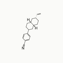 C=C[C@@H]1CC[C@@H]2CC(c3ccc(C#N)cc3)CC[C@@H]2C1